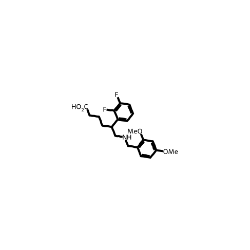 COc1ccc(CNCC(CCCC(=O)O)c2cccc(F)c2F)c(OC)c1